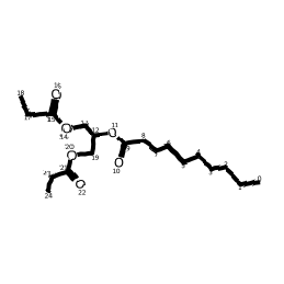 CCCCCCCCCC(=O)OC(COC(=O)CC)COC(=O)CC